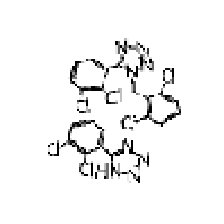 Clc1cccc(-c2nnn[nH]2)c1Cl.Clc1cccc(-c2nnnn2Cc2c(Cl)cccc2Cl)c1Cl